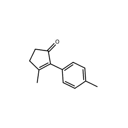 CC1=C(c2ccc(C)cc2)C(=O)CC1